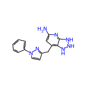 Nc1cc(Cc2ccn(-c3ccccc3)n2)c2c(n1)NNN2